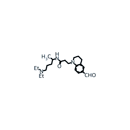 CCN(CC)CCCC(C)NC(=O)CCN1CCCc2cc(C=O)ccc21